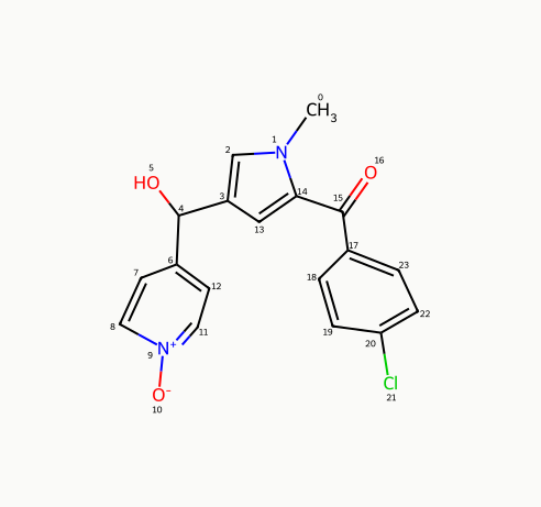 Cn1cc(C(O)c2cc[n+]([O-])cc2)cc1C(=O)c1ccc(Cl)cc1